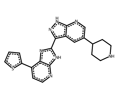 c1csc(-c2ccnc3[nH]c(-c4n[nH]c5ncc(C6CCNCC6)cc45)nc23)c1